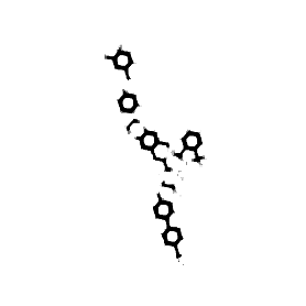 N#Cc1ccc(-c2ccc(C[C@H](NC(=O)C3Cc4cc5c(cc4CN3C(=O)c3ccccc3C(F)(F)F)O[C@@H](c3ccc(OCc4ccc(Cl)c(Cl)c4)cc3)CO5)C(=O)O)cc2)cc1